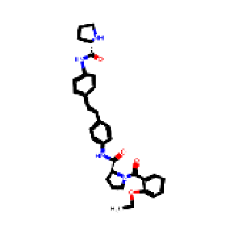 CCOc1ccccc1C(=O)N1CCC[C@H]1C(=O)Nc1ccc(/C=C/c2ccc(NC(=O)[C@@H]3CCCN3)cc2)cc1